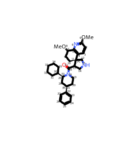 COc1ccc2c(n1)C(OC)CC[C@]21CNCC1C(=O)N1CC[C@@H](c2ccccc2)C[C@H]1C1CCCCC1